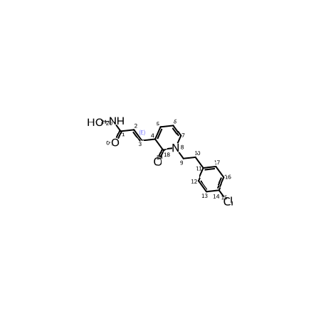 O=C(/C=C/c1cccn(CCc2ccc(Cl)cc2)c1=O)NO